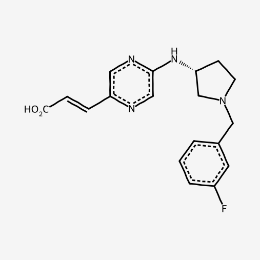 O=C(O)/C=C/c1cnc(N[C@@H]2CCN(Cc3cccc(F)c3)C2)cn1